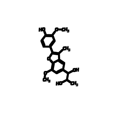 COc1cc(-c2oc3c(OC)cc(C(O)C(C)O)cc3c2C)ccc1O